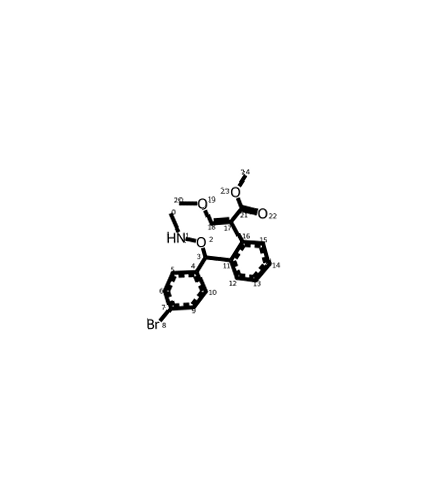 CNOC(c1ccc(Br)cc1)c1ccccc1C(=COC)C(=O)OC